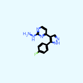 NNc1nccc(-c2cn[nH]c2-c2ccc(F)cc2)n1